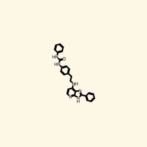 O=C(Nc1ccccc1)Nc1ccc(CCNc2ccnc3[nH]c(-c4ccccc4)nc23)cc1